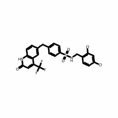 O=c1cc(C(F)(F)F)c2cc(Cc3ccc(S(=O)(=O)NCc4ccc(Cl)cc4Cl)cc3)ccc2[nH]1